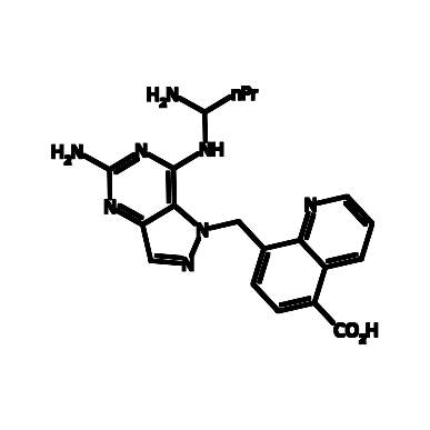 CCCC(N)Nc1nc(N)nc2cnn(Cc3ccc(C(=O)O)c4cccnc34)c12